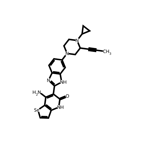 CC#CC1CN(c2ccc3nc(-c4c(N)c5[se]ccc5[nH]c4=O)[nH]c3c2)CCN1C1CC1